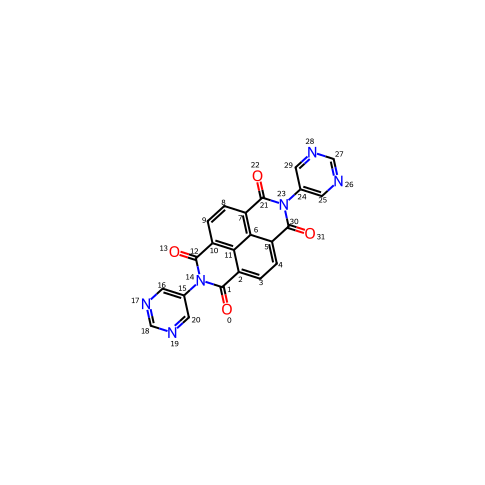 O=C1c2ccc3c4c(ccc(c24)C(=O)N1c1cncnc1)C(=O)N(c1cncnc1)C3=O